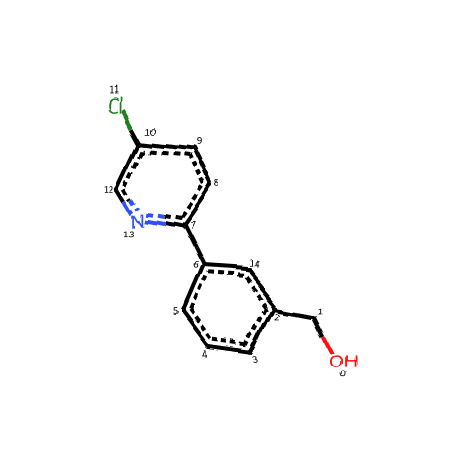 OCc1cccc(-c2ccc(Cl)cn2)c1